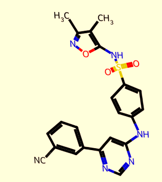 Cc1noc(NS(=O)(=O)c2ccc(Nc3cc(-c4cccc(C#N)c4)ncn3)cc2)c1C